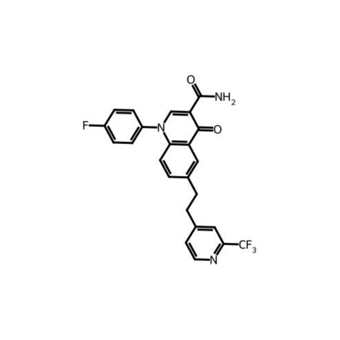 NC(=O)c1cn(-c2ccc(F)cc2)c2ccc(CCc3ccnc(C(F)(F)F)c3)cc2c1=O